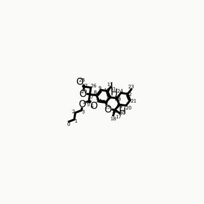 CCCCOC(=O)C1(c2cc(I)c3c(c2)OC(C)(C)[C@@H]2CC=C(C)C[C@@H]32)CC(=O)O1